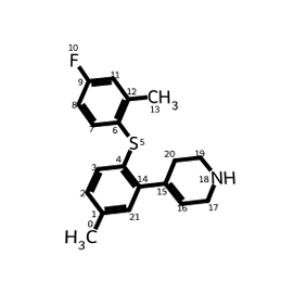 Cc1ccc(Sc2ccc(F)cc2C)c(C2=CCNCC2)c1